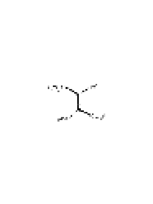 CCC[C@@H](C(=O)O)[C@@H](CCC)C(=O)OCC